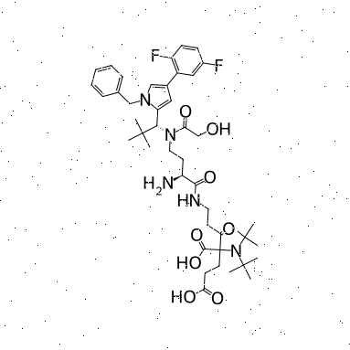 CC(C)(C)[C@H](c1cc(-c2cc(F)ccc2F)cn1Cc1ccccc1)N(CC[C@H](N)C(=O)NCCC(=O)C(CCC(=O)O)(C(=O)O)N(C(C)(C)C)C(C)(C)C)C(=O)CO